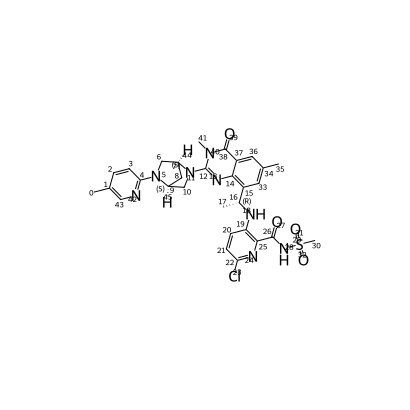 Cc1ccc(N2C[C@@H]3C[C@H]2CN3c2nc3c([C@@H](C)Nc4ccc(Cl)nc4C(=O)NS(C)(=O)=O)cc(C)cc3c(=O)n2C)nc1